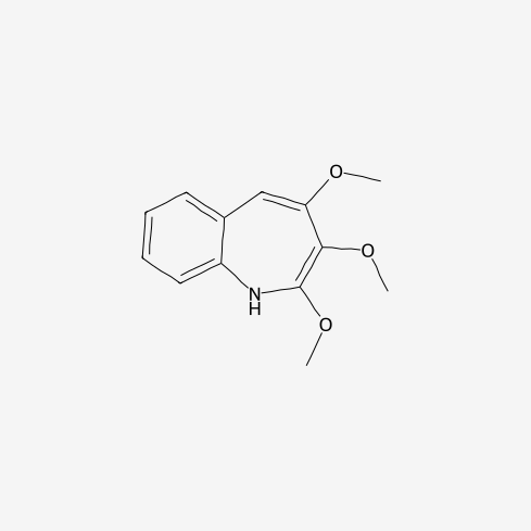 COC1=Cc2ccccc2NC(OC)=C1OC